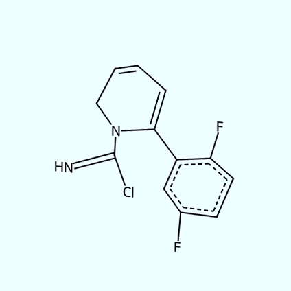 N=C(Cl)N1CC=CC=C1c1cc(F)ccc1F